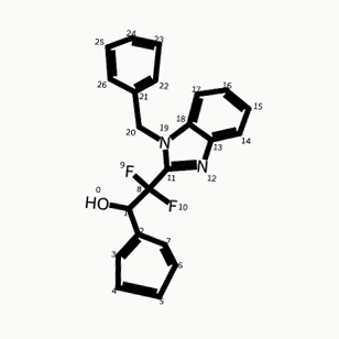 OC(c1ccccc1)C(F)(F)c1nc2ccccc2n1Cc1ccccc1